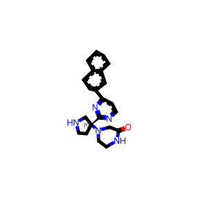 O=C1CN([C@]2(c3nccc(-c4ccc5ccccc5c4)n3)CCNC2)CCN1